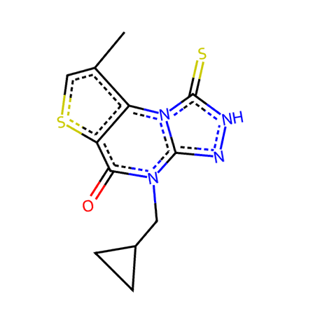 Cc1csc2c(=O)n(CC3CC3)c3n[nH]c(=S)n3c12